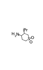 CC(C)[C@H]1CS(=O)(=O)CC[C@H]1N